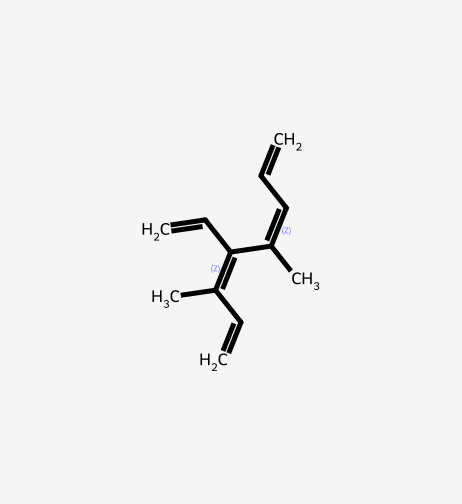 C=C/C=C(C)\C(C=C)=C(\C)C=C